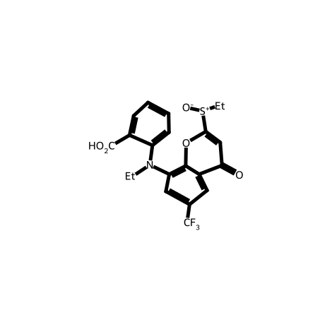 CCN(c1ccccc1C(=O)O)c1cc(C(F)(F)F)cc2c(=O)cc([S+]([O-])CC)oc12